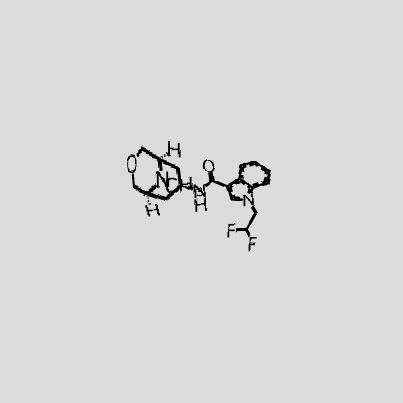 CN1[C@@H]2COC[C@H]1C[C@@H](NC(=O)c1cn(CC(F)F)c3ccccc13)C2